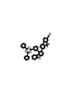 CC1(C)c2cc(C#N)ccc2-c2ccc(-c3ccc4sc5ccccc5c4c3-c3cccc(-c4nc(-c5ccccc5)nc(-c5ccccc5)n4)c3)cc21